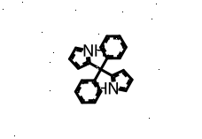 c1ccc(C(c2ccccc2)(c2ccc[nH]2)c2ccc[nH]2)cc1